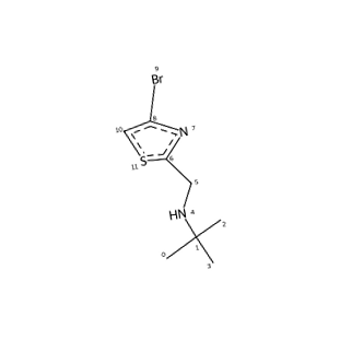 CC(C)(C)NCc1nc(Br)cs1